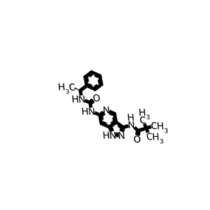 C[C@@H](NC(=O)Nc1cc2[nH]nc(NC(=O)C(C)(C)C)c2cn1)c1ccccc1